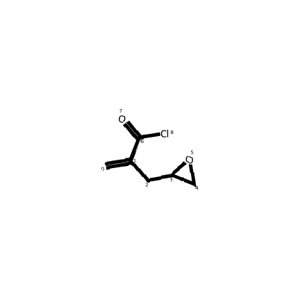 C=C(CC1CO1)C(=O)Cl